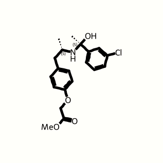 COC(=O)COc1ccc(C[C@H](C)N[C@@](C)(O)c2cccc(Cl)c2)cc1